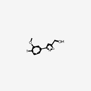 COc1cc(-c2cc(CO)on2)ccc1F